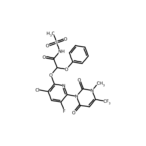 Cn1c(C(F)(F)F)cc(=O)n(-c2nc(OC(Oc3ccccc3)C(=O)NS(C)(=O)=O)c(Cl)cc2F)c1=O